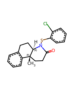 C[C@]12CCC(=O)N(Sc3ccccc3Cl)[C@@H]1CCc1ccccc12